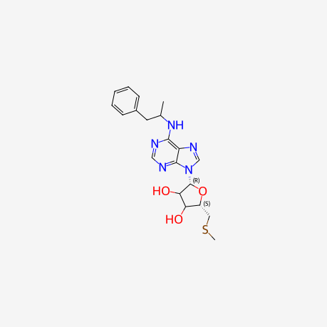 CSC[C@H]1O[C@@H](n2cnc3c(NC(C)Cc4ccccc4)ncnc32)C(O)C1O